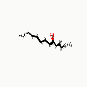 CCCC=CCCC(=O)CCCC